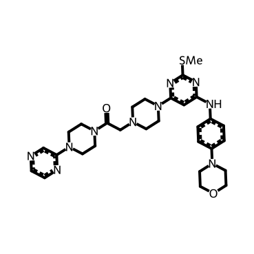 CSc1nc(Nc2ccc(N3CCOCC3)cc2)cc(N2CCN(CC(=O)N3CCN(c4cnccn4)CC3)CC2)n1